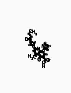 CCCC(=O)C1CN(c2cc(C)c3c(=O)c(C(=O)O)cn(-c4nccs4)c3n2)C1